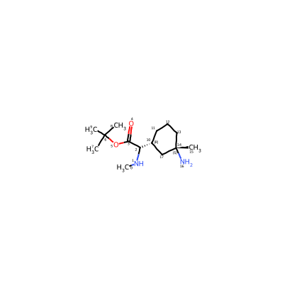 CNC(C(=O)OC(C)(C)C)[C@@H]1CCC[C@](C)(N)C1